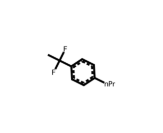 CCCc1ccc(C(C)(F)F)cc1